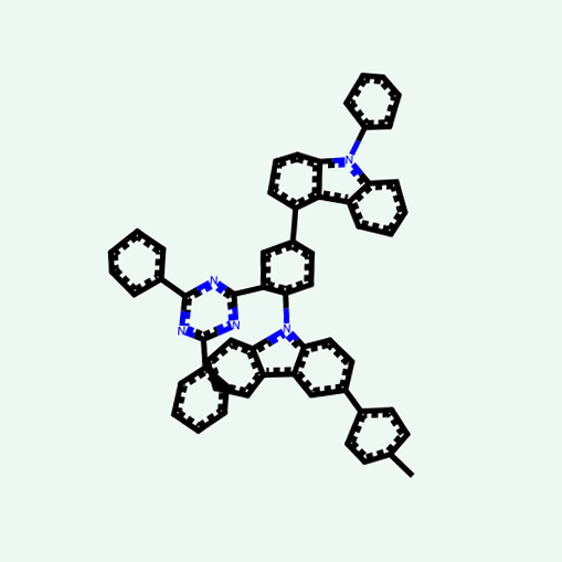 Cc1ccc(-c2ccc3c(c2)c2ccccc2n3-c2ccc(-c3cccc4c3c3ccccc3n4-c3ccccc3)cc2-c2nc(-c3ccccc3)nc(-c3ccccc3)n2)cc1